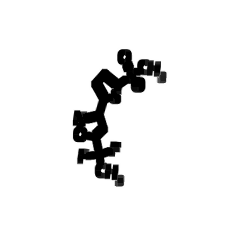 CC(F)(F)c1cc(-c2ccc(S(C)(=O)=O)s2)no1